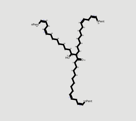 CCCCC/C=C\C/C=C\CCCCCCCCC(=O)C(CCCCCCC/C=C\C/C=C\CCCCC)C(O)CCCCCCC/C=C\C/C=C\CCCCC